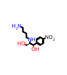 NCCCCN[C@H](CO)[C@H](O)c1ccc([N+](=O)[O-])cc1